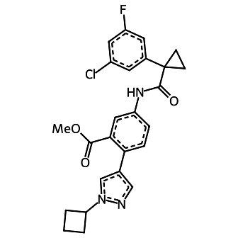 COC(=O)c1cc(NC(=O)C2(c3cc(F)cc(Cl)c3)CC2)ccc1-c1cnn(C2CCC2)c1